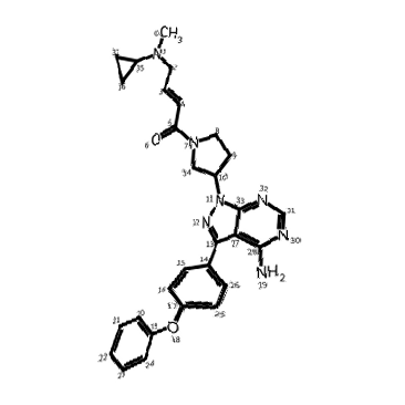 CN(CC=CC(=O)N1CCC(n2nc(-c3ccc(Oc4ccccc4)cc3)c3c(N)ncnc32)C1)C1CC1